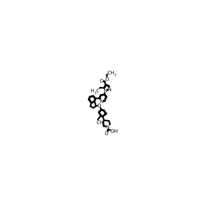 CCOC(=O)c1cnn(-c2ccnc(-c3cccc4c3C(Oc3ccc(C5CCN(C(=O)O)CC5)c(CC)c3)CC4)c2)c1CC